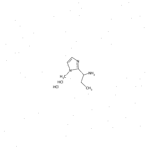 CCC(N)c1nccn1C.Cl.Cl